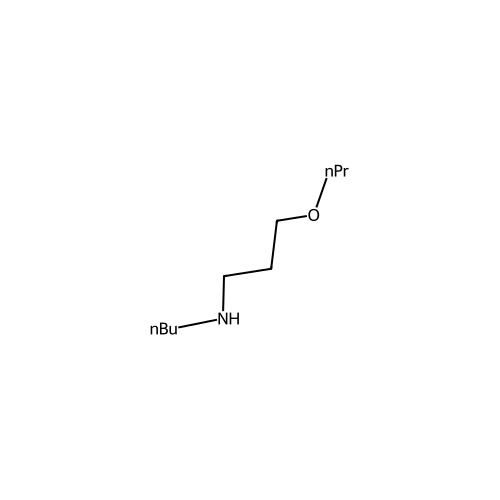 [CH2]CCOCCCNCCCC